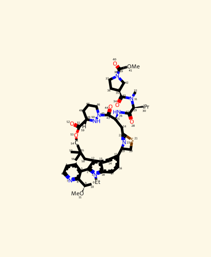 CCn1c(-c2cccnc2[C@H](C)OC)c2c3cc(ccc31)C1CSC(=N1)C[C@H](NC(=O)[C@H](C(C)C)N(C)C(=O)[C@H]1CCN(C(=O)OC)C1)C(=O)N1CCC[C@H](N1)C(=O)OCC(C)(C)C2